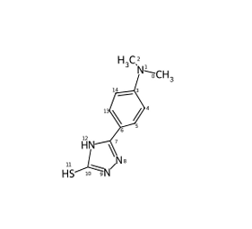 CN(C)c1ccc(-c2nnc(S)[nH]2)cc1